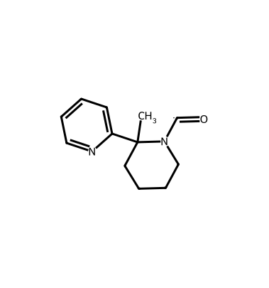 CC1(c2ccccn2)CCCCN1[C]=O